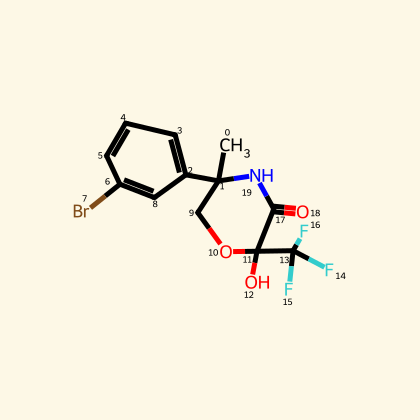 CC1(c2cccc(Br)c2)COC(O)(C(F)(F)F)C(=O)N1